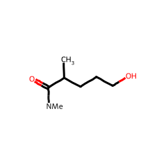 CNC(=O)C(C)CCCO